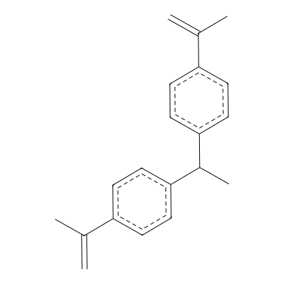 C=C(C)c1ccc(C(C)c2ccc(C(=C)C)cc2)cc1